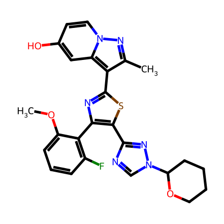 COc1cccc(F)c1-c1nc(-c2c(C)nn3ccc(O)cc23)sc1-c1ncn(C2CCCCO2)n1